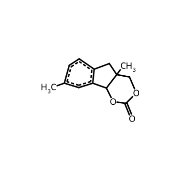 Cc1ccc2c(c1)C1OC(=O)OCC1(C)C2